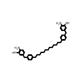 CCCc1cc(Cc2ccc(CCCCCCCCCCCCCc3ccc(Cc4ccc(N)c(CCC)c4)cc3)cc2)ccc1N